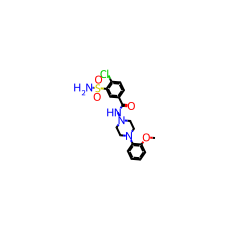 COc1ccccc1N1CCN(NC(=O)c2ccc(Cl)c(S(N)(=O)=O)c2)CC1